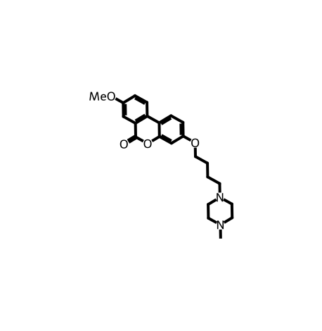 COc1ccc2c(c1)c(=O)oc1cc(OCCCCN3CCN(C)CC3)ccc12